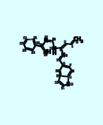 C=C/C=C(\N=C\c1ccc2sccc2c1)N/C=N\C(=N)c1ccccc1